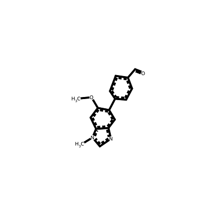 COc1cc2c(cc1-c1ccc(C=O)cc1)ncn2C